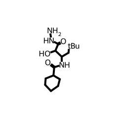 CC(C)(C)CC(NC(=O)C1CCCCC1)C(O)C(=O)NN